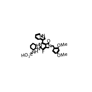 COc1ccc(CN2Cc3c(F)c(N[C@@H]4CCCC[C@@H]4NC(=O)O)nc(-c4cnn5ccccc45)c3C2=O)c(OC)c1